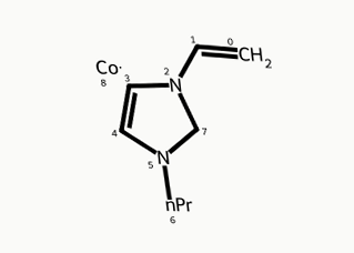 C=CN1C=CN(CCC)C1.[Co]